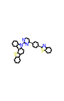 c1ccc2sc(-c3ccc(-c4ccnc(-n5c6ccccc6c6c7sc8ccccc8c7ccc65)n4)cc3)nc2c1